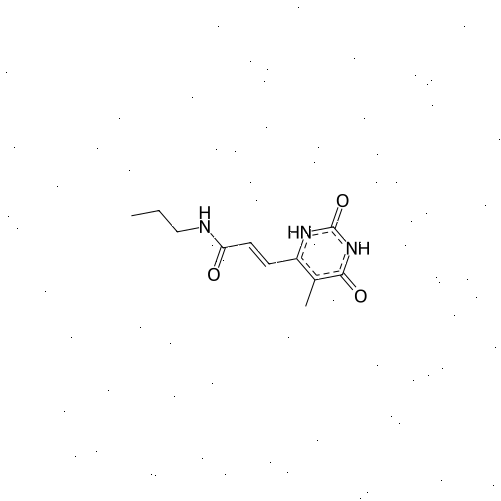 CCCNC(=O)/C=C/c1[nH]c(=O)[nH]c(=O)c1C